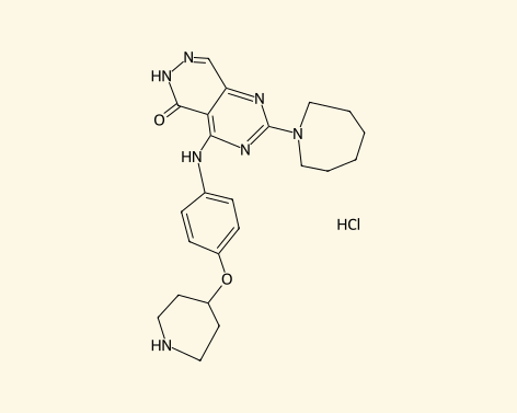 Cl.O=c1[nH]ncc2nc(N3CCCCCC3)nc(Nc3ccc(OC4CCNCC4)cc3)c12